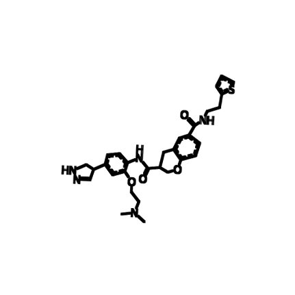 CN(C)CCOc1cc(C2C=NNC2)ccc1NC(=O)C1COc2ccc(C(=O)NCCc3cccs3)cc2C1